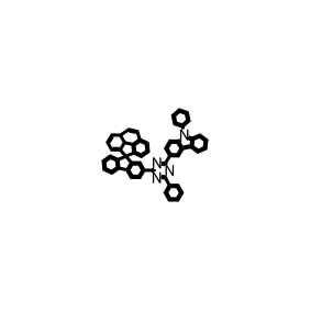 C1=CC2C=Cc3cccc4c3C2C(=C1)C41c2ccccc2-c2ccc(-c3nc(-c4ccccc4)nc(-c4ccc5c(c4)c4ccccc4n5-c4ccccc4)n3)cc21